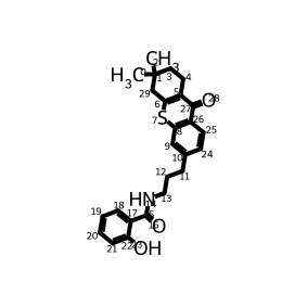 CC1(C)CCc2c(sc3cc(CCCNC(=O)c4ccccc4O)ccc3c2=O)C1